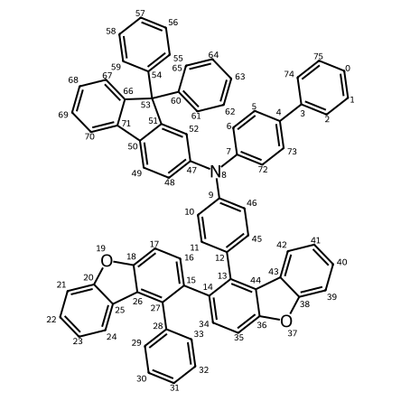 c1ccc(-c2ccc(N(c3ccc(-c4c(-c5ccc6oc7ccccc7c6c5-c5ccccc5)ccc5oc6ccccc6c45)cc3)c3ccc4c(c3)C(c3ccccc3)(c3ccccc3)c3ccccc3-4)cc2)cc1